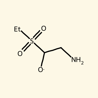 CCS(=O)(=O)C([O])CN